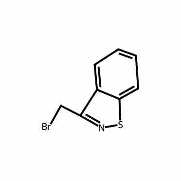 BrCc1nsc2ccccc12